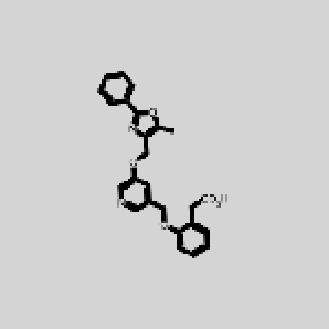 Cc1oc(-c2ccccc2)nc1COc1cncc(COc2ccccc2CC(=O)O)c1